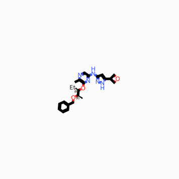 CC[C@@H](Oc1nc(Nc2cc(C3COC3)[nH]n2)cnc1C)[C@@H](C)OCc1ccccc1